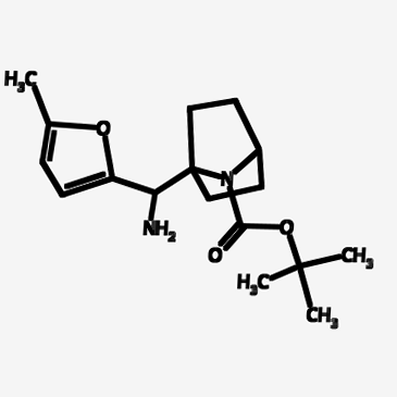 Cc1ccc(C(N)C23CCC(CC2)N3C(=O)OC(C)(C)C)o1